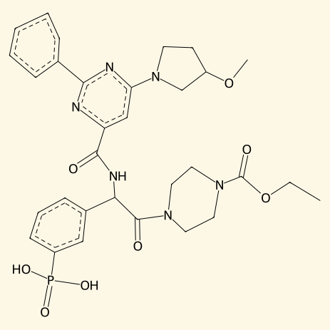 CCOC(=O)N1CCN(C(=O)C(NC(=O)c2cc(N3CCC(OC)C3)nc(-c3ccccc3)n2)c2cccc(P(=O)(O)O)c2)CC1